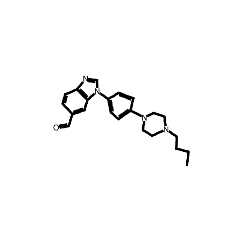 CCCCN1CCN(c2ccc(-n3cnc4ccc(C=O)cc43)cc2)CC1